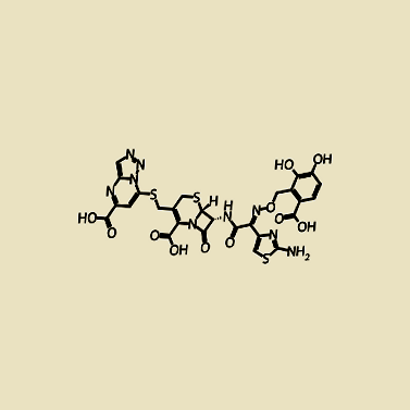 Nc1nc(C(=NOCc2c(C(=O)O)ccc(O)c2O)C(=O)N[C@@H]2C(=O)N3C(C(=O)O)=C(CSc4cc(C(=O)O)nc5cnnn45)CS[C@H]23)cs1